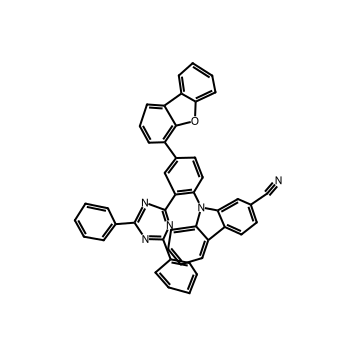 N#Cc1ccc2c3ccccc3n(-c3ccc(-c4cccc5c4oc4ccccc45)cc3-c3nc(-c4ccccc4)nc(-c4ccccc4)n3)c2c1